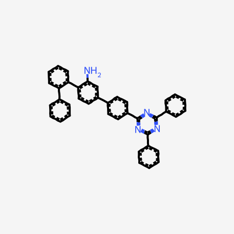 Nc1cc(-c2ccc(-c3nc(-c4ccccc4)nc(-c4ccccc4)n3)cc2)ccc1-c1ccccc1-c1ccccc1